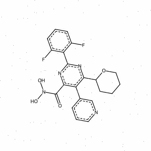 O=C(c1nc(-c2c(F)cccc2F)nc(C2CCCCO2)c1-c1cccnc1)N(O)O